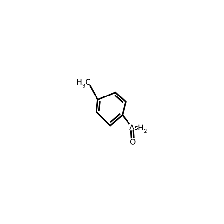 Cc1ccc([AsH2]=O)cc1